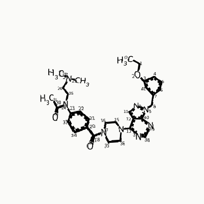 CCOc1cccc(Cn2ncc3c(N4CCN(C(=O)c5ccc(N(CCN(C)C)C(C)=O)cc5)CC4)ncnc32)c1